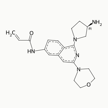 C=CC(=O)Nc1ccc2c(N3CC[C@@H](N)C3)nc(N3CCOCC3)cc2c1